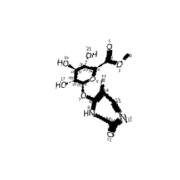 COC(=O)[C@H]1O[C@@H](Oc2[nH]c(=O)ncc2F)[C@H](O)[C@@H](O)[C@@H]1O